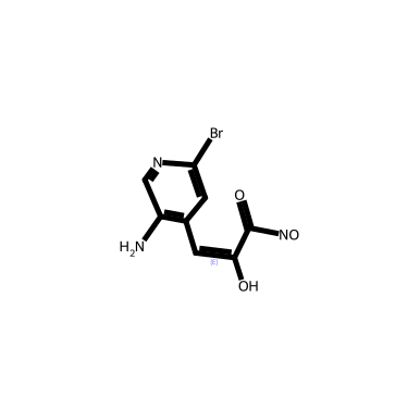 Nc1cnc(Br)cc1/C=C(/O)C(=O)N=O